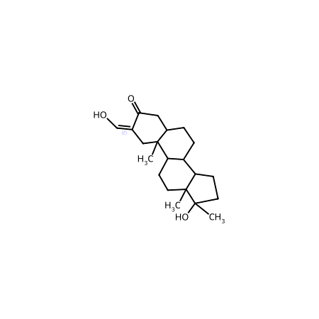 CC12C/C(=C/O)C(=O)CC1CCC1C2CCC2(C)C1CCC2(C)O